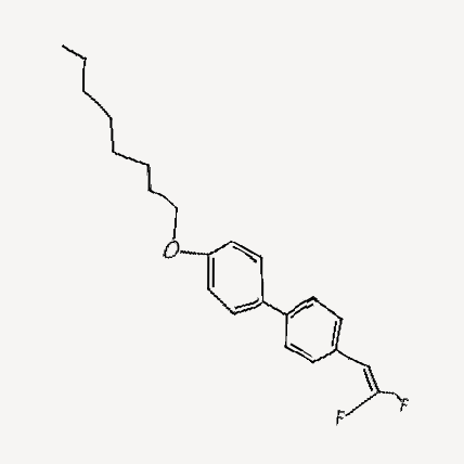 CCCCCCCCOc1ccc(-c2ccc(C=C(F)F)cc2)cc1